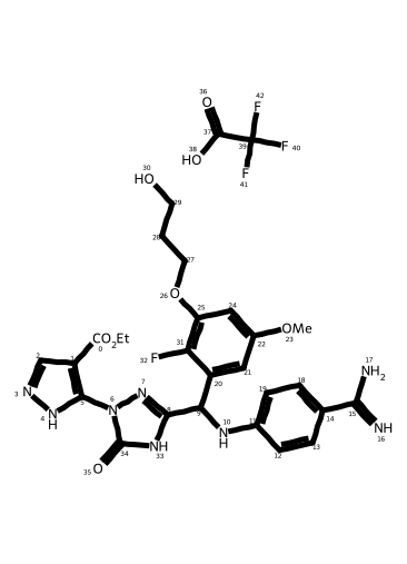 CCOC(=O)c1cn[nH]c1-n1nc(C(Nc2ccc(C(=N)N)cc2)c2cc(OC)cc(OCCCO)c2F)[nH]c1=O.O=C(O)C(F)(F)F